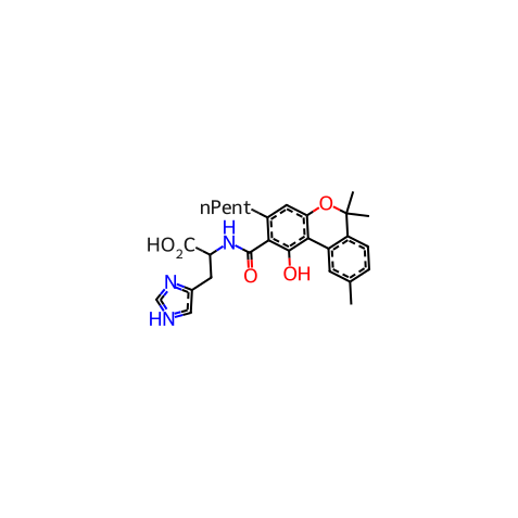 CCCCCc1cc2c(c(O)c1C(=O)NC(Cc1c[nH]cn1)C(=O)O)-c1cc(C)ccc1C(C)(C)O2